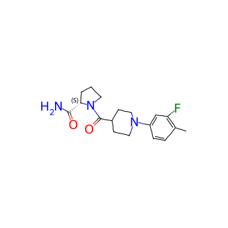 Cc1ccc(N2CCC(C(=O)N3CCC[C@H]3C(N)=O)CC2)cc1F